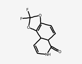 O=C1NC=CC2C3=C(C=CC12)OC(F)(F)O3